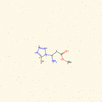 CC(C)(C)OC(=O)CC(N)n1nnnc1S